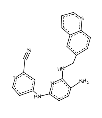 N#Cc1cc(Nc2ccc(N)c(NCc3ccc4ncccc4c3)n2)ccn1